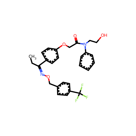 CCC(=NOCc1ccc(C(F)(F)F)cc1)c1ccc(OCC(=O)N(CCO)c2ccccc2)cc1